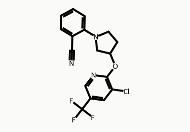 N#Cc1ccccc1N1CCC(Oc2ncc(C(F)(F)F)cc2Cl)C1